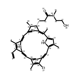 C=Cc1c(C)c2cc3nc(c(C)c4cc(C)c(cc5nc(cc1[nH]2)C(C)=C5CC)[nH]4)[C@@H](CCC(=O)N(C)CCO)[C@@H]3C